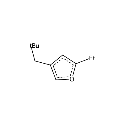 CCc1cc(CC(C)(C)C)co1